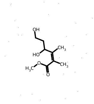 COC(=O)C(C)=C(C)C(O)CCO